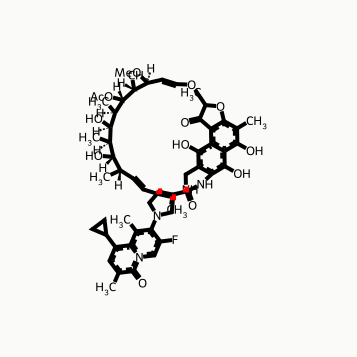 CO[C@H]1/C=C/O[C@@]2(C)Oc3c(C)c(O)c4c(O)c(c(CN[C@H]5CCN(c6c(F)cn7c(=O)c(C)cc(C8CC8)c7c6C)C5)c(O)c4c3C2=O)NC(=O)/C(C)=C\C=C\[C@H](C)[C@H](O)[C@@H](C)[C@@H](O)[C@@H](C)[C@H](OC(C)=O)[C@@H]1C